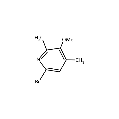 COc1c(C)cc(Br)nc1C